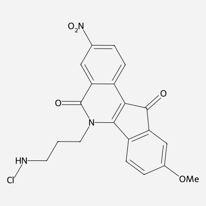 COc1ccc2c(c1)C(=O)c1c-2n(CCCNCl)c(=O)c2cc([N+](=O)[O-])ccc12